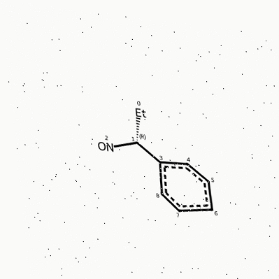 CC[C@@H](N=O)c1ccccc1